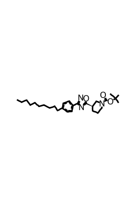 CCCCCCCCCCc1ccc(-c2noc([C@@H]3CCCN(C(=O)OC(C)(C)C)C3)n2)cc1